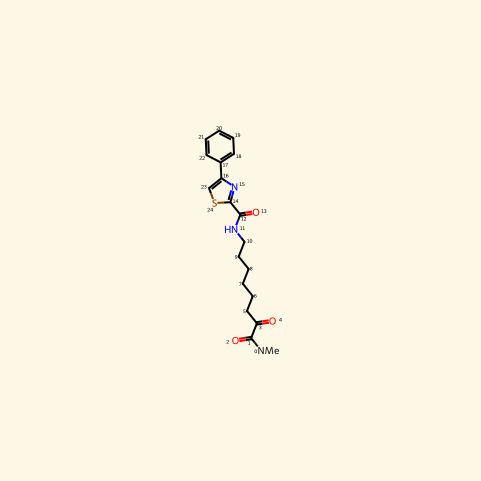 CNC(=O)C(=O)CCCCCCNC(=O)c1nc(-c2ccccc2)cs1